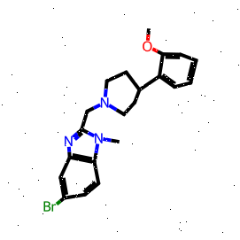 COc1ccccc1C1CCN(Cc2nc3cc(Br)ccc3n2C)CC1